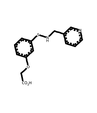 O=C(O)COc1cccc(SNCc2cccnc2)c1